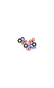 COC(=O)c1cccc2[nH]c(=O)n(-c3cc(S(=O)(=O)N4CCCc5ccccc54)ccc3Cl)c(=O)c12